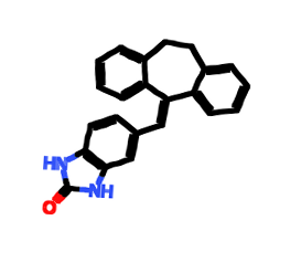 O=c1[nH]c2ccc(C=C3c4ccccc4CCc4ccccc43)cc2[nH]1